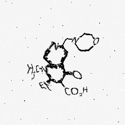 CCc1c(C(=O)O)c(=O)c2cc(CN3CCOCC3)ncc2n1C